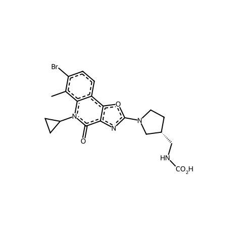 Cc1c(Br)ccc2c3oc(N4CC[C@H](CNC(=O)O)C4)nc3c(=O)n(C3CC3)c12